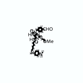 COCCOc1nc(NC(=O)CCCCCN(C)[C@H]2CC[C@@H](N(C)C)CC2)c2[nH]c(=O)n(Cc3ccc(C=O)cc3)c2n1